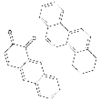 O=C1C=Cc2cc3ccccc3cc2C1=O.c1ccc2c(c1)ccc1c3c(ccc12)CCCC3